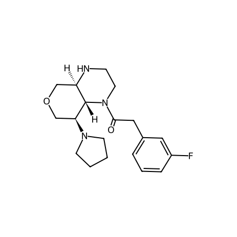 O=C(Cc1cccc(F)c1)N1CCN[C@@H]2COC[C@H](N3CCCC3)[C@H]21